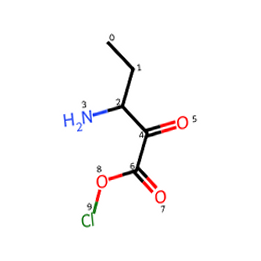 CCC(N)C(=O)C(=O)OCl